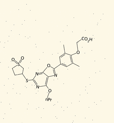 CCCOc1nc(SC2CCS(=O)(=O)C2)nc2oc(-c3cc(C)c(OCC(=O)O)c(C)c3)nc12